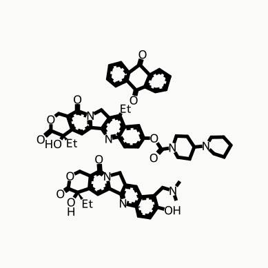 CC[C@@]1(O)C(=O)OCc2c1cc1n(c2=O)Cc2cc3c(CN(C)C)c(O)ccc3nc2-1.CCc1c2c(nc3ccc(OC(=O)N4CCC(N5CCCCC5)CC4)cc13)-c1cc3c(c(=O)n1C2)COC(=O)[C@]3(O)CC.O=C1c2ccccc2C(=O)c2ccccc21